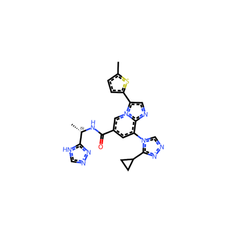 Cc1ccc(-c2cnc3c(-n4cnnc4C4CC4)cc(C(=O)N[C@@H](C)c4nnc[nH]4)cn23)s1